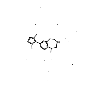 Cc1cnn(C)c1-c1ccc2c(c1)CCNCC2C